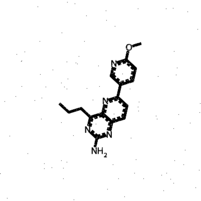 CCCc1nc(N)nc2ccc(-c3ccc(OC)nc3)nc12